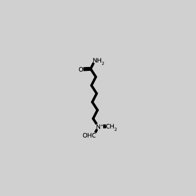 C=[N+](C=O)CCCCCCC(N)=O